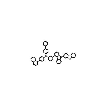 c1ccc(-c2ccc(N(c3ccc(-c4cccc5ccccc45)cc3)c3cccc(-c4cccc5c4c4ccccc4n5-c4ccc5c(c4)oc4ccccc45)c3)cc2)cc1